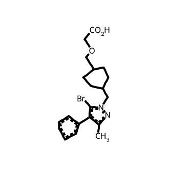 Cc1nn(CC2CCC(COCC(=O)O)CC2)c(Br)c1-c1ccccc1